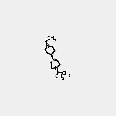 CCN1CCC(N2CCN(C(C)C)CC2)CC1